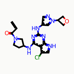 C=CC(=O)N1CCC(Nc2nc(Nc3cnn(C4COC4)c3)nc3[nH]cc(Cl)c23)C1